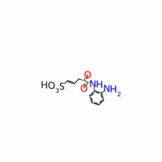 Nc1ccccc1NS(=O)(=O)C/C=C/S(=O)(=O)O